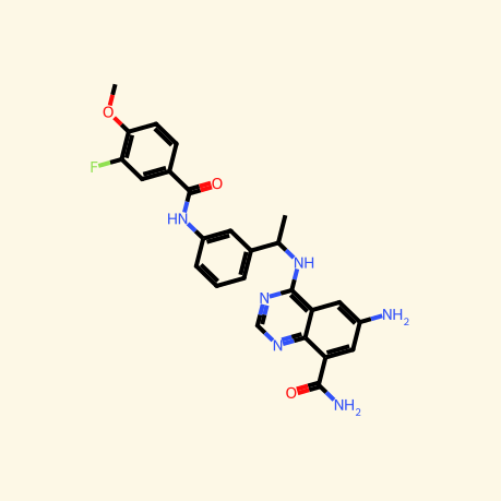 COc1ccc(C(=O)Nc2cccc(C(C)Nc3ncnc4c(C(N)=O)cc(N)cc34)c2)cc1F